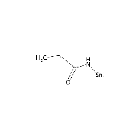 CCC(=O)[NH][Sn]